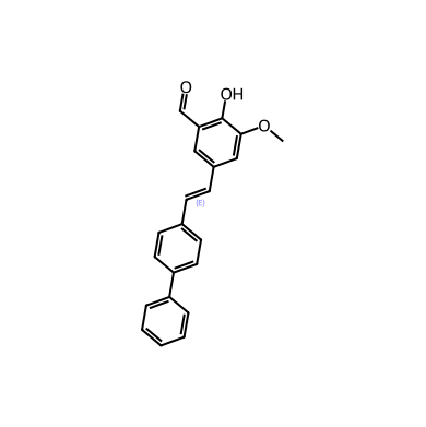 COc1cc(/C=C/c2ccc(-c3ccccc3)cc2)cc(C=O)c1O